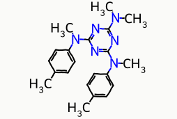 Cc1ccc(N(C)c2nc(N(C)C)nc(N(C)c3ccc(C)cc3)n2)cc1